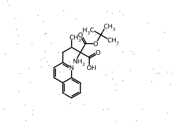 CC(Cc1ccc2ccccc2n1)C(N)(C(=O)O)C(=O)OC(C)(C)C